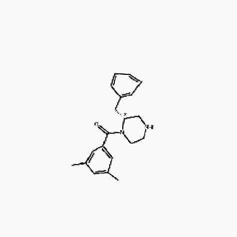 Cc1cc(C)cc(C(=O)N2CCNC[C@H]2Cc2ccccc2)c1